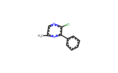 Cc1cnc(Cl)c(-c2ccccc2)n1